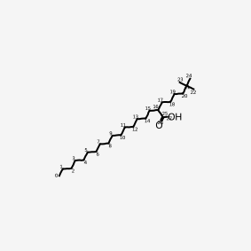 CCCCCCCCCCCCCCCCC(CCCCC(C)(C)C)C(=O)O